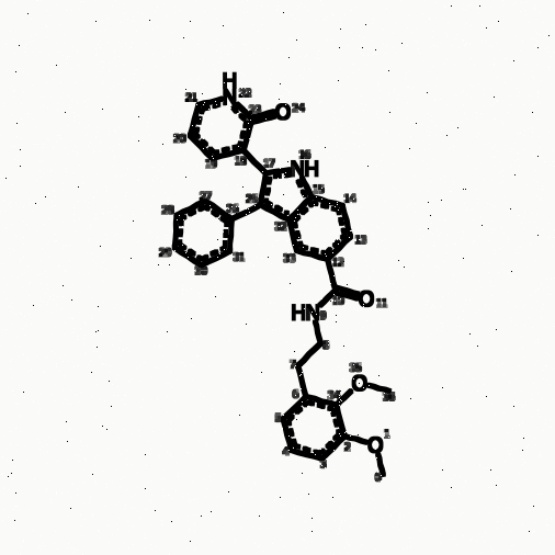 COc1cccc(CCNC(=O)c2ccc3[nH]c(-c4ccc[nH]c4=O)c(-c4ccccc4)c3c2)c1OC